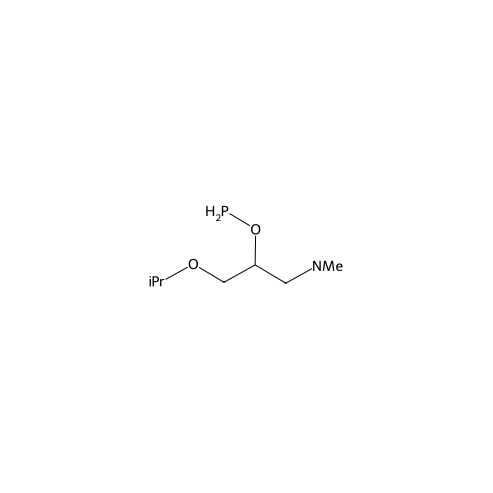 CNCC(COC(C)C)OP